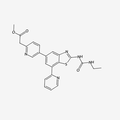 CCNC(=O)Nc1nc2cc(-c3ccc(CC(=O)OC)nc3)cc(-c3ccccn3)c2s1